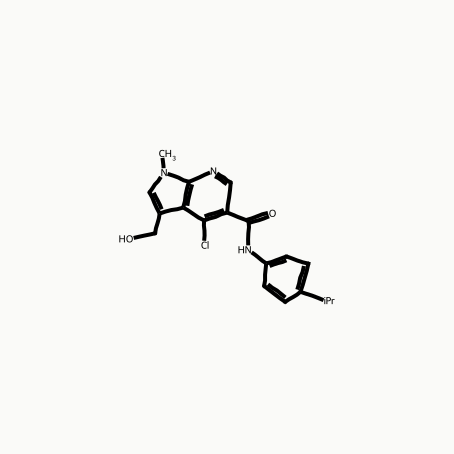 CC(C)c1ccc(NC(=O)c2cnc3c(c(CO)cn3C)c2Cl)cc1